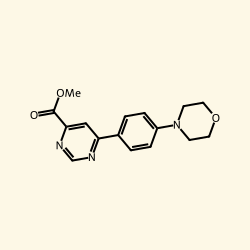 COC(=O)c1cc(-c2ccc(N3CCOCC3)cc2)ncn1